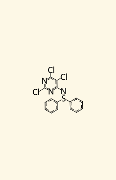 Clc1nc(Cl)c(Cl)c(N=S(c2ccccc2)c2ccccc2)n1